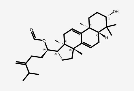 C=C(CC[C@@H](OC=O)[C@H]1CC[C@@]2(C)C3=CC[C@H]4C(C)(C)[C@@H](O)CC[C@]4(C)C3=CC[C@]12C)C(C)C